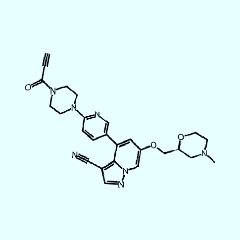 C#CC(=O)N1CCN(c2ccc(-c3cc(OC[C@@H]4CN(C)CCO4)cn4ncc(C#N)c34)cn2)CC1